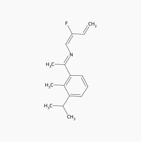 C=C/C(F)=C\N=C(/C)c1cccc(C(C)C)c1C